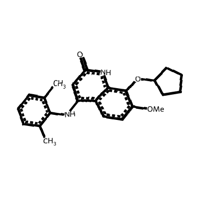 COc1ccc2c(Nc3c(C)cccc3C)cc(=O)[nH]c2c1OC1CCCC1